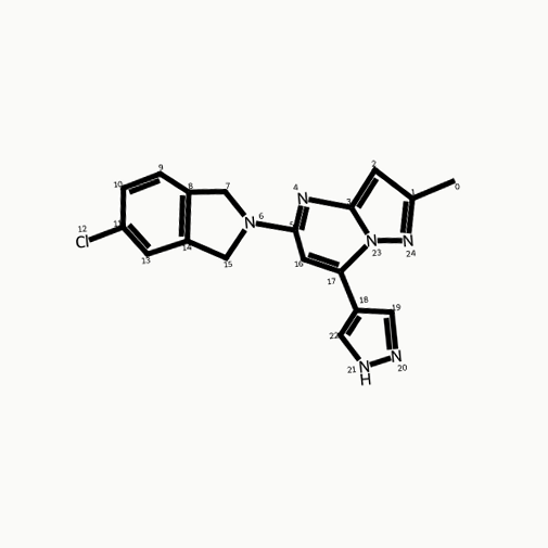 Cc1cc2nc(N3Cc4ccc(Cl)cc4C3)cc(-c3cn[nH]c3)n2n1